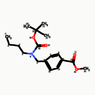 CCCCN(Cc1ccc(C(=O)OC)cc1)C(=O)OC(C)(C)C